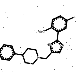 COc1ccc(Cl)cc1-c1ncc(CN2CCC(c3ccccc3)CC2)[nH]1